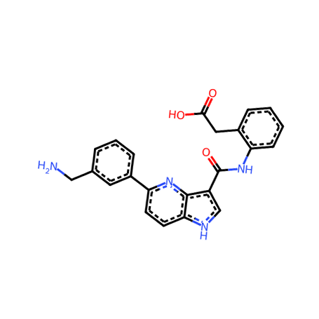 NCc1cccc(-c2ccc3[nH]cc(C(=O)Nc4ccccc4CC(=O)O)c3n2)c1